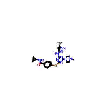 CCCc1cc(Nc2nc(Sc3ccc(C(=O)NC4CC4)cc3)nc(N3CCN(C)CC3)n2)n[nH]1